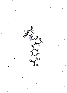 CC(=O)Nc1ccc(Oc2ccccc2/C=C2\SC(=O)NC2=O)cc1